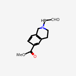 COC(=O)c1ccc2c(c1)CCN(BC=O)C2